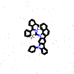 C=CC1C=CC=C/C1=C(/N=C(\C)n1c2cc3c(cc2c2ccc4ccccc4c21)c1ccccc1n3-c1ccccc1)c1ccccc1